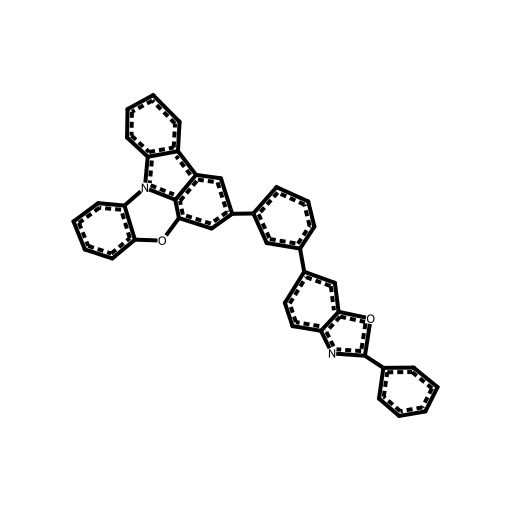 c1ccc(-c2nc3ccc(-c4cccc(-c5cc6c7c(c5)c5ccccc5n7-c5ccccc5O6)c4)cc3o2)cc1